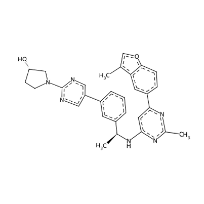 Cc1nc(N[C@@H](C)c2cccc(-c3cnc(N4CC[C@H](O)C4)nc3)c2)cc(-c2ccc3occ(C)c3c2)n1